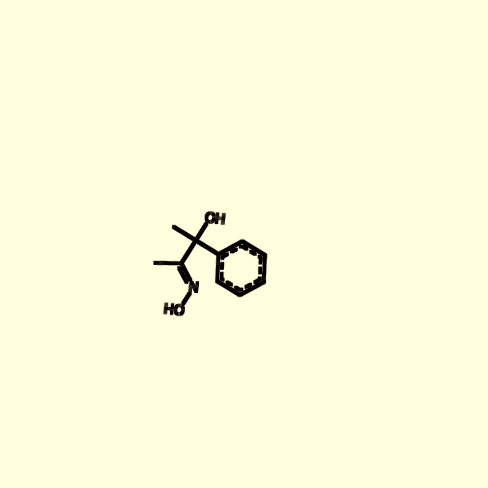 CC(=NO)C(C)(O)c1ccccc1